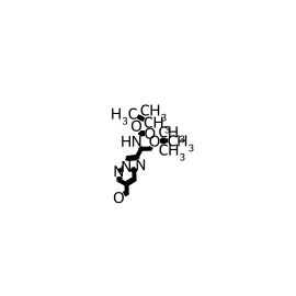 CC(C)(C)OCC(NC(=O)OC(C)(C)C)c1cn2ncc(C=O)cc2n1